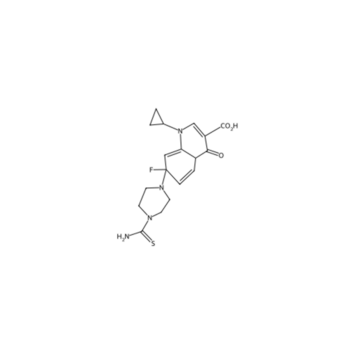 NC(=S)N1CCN(C2(F)C=CC3C(=O)C(C(=O)O)=CN(C4CC4)C3=C2)CC1